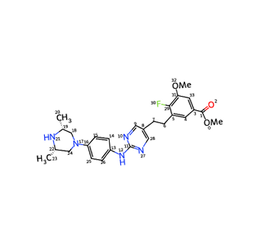 COC(=O)c1cc(CCc2cnc(Nc3ccc(N4C[C@@H](C)N[C@@H](C)C4)cc3)nc2)c(F)c(OC)c1